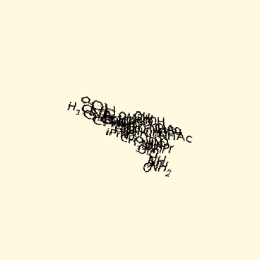 CC[C@H](C)[C@@H]([C@@H](CC(=O)N1CCC[C@H]1[C@H](OC)[C@@H](C)C(=O)N[C@H](C)[C@@H](O)c1ccccc1)OC)N(C)C(=O)[C@@H](NC(=O)[C@H](C(C)C)N(C)C(=O)OC(C(=O)N[C@H]1[C@H](O[C@H]2[C@H](O)[C@@H](NC(C)=O)[C@H](O)O[C@@H]2CO)O[C@H](CO)[C@@H](O)[C@@H]1O)c1ccc(NC(=O)[C@H](CCCNC(N)=O)NC(=O)[C@@H](NC(=O)[C@H](CCC(=O)OC(C)(C)C)NC(C)=O)C(C)C)cc1)C(C)C